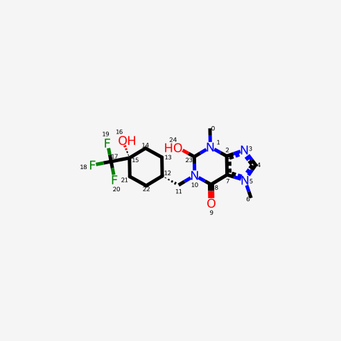 CN1c2ncn(C)c2C(=O)N(C[C@H]2CC[C@](O)(C(F)(F)F)CC2)C1O